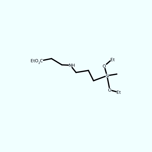 CCOC(=O)CCNCCC[Si](C)(OCC)OCC